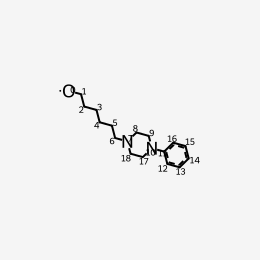 [O]CCCCCCN1CCN(c2ccccc2)CC1